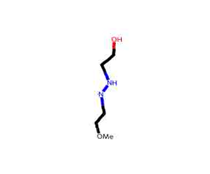 COCC[N]NCCO